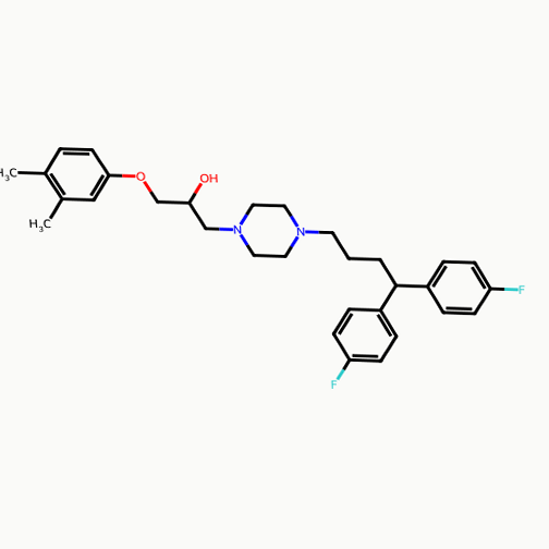 Cc1ccc(OCC(O)CN2CCN(CCCC(c3ccc(F)cc3)c3ccc(F)cc3)CC2)cc1C